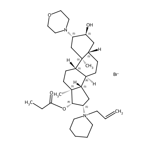 C=CC[N+]1([C@H]2C[C@H]3[C@@H]4CC[C@H]5C[C@H](O)[C@@H](N6CCOCC6)C[C@]5(C)[C@H]4CC[C@]3(C)[C@H]2OC(=O)CC)CCCCC1.[Br-]